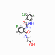 O=C(Nc1cc(F)cc(Cl)c1)Nc1cc(F)ccc1C(=O)NCCCO